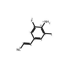 Cc1cc(C=CC#N)cc(F)c1N